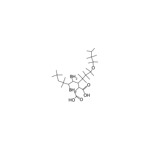 BC(C(B)C(C)(C)CC(C)(C)C)C(C(CC(=O)O)C(=O)O)C(C)(C)C(C)(C)C(C)(C)OC(C)(C)C(C)(C)C(C)C